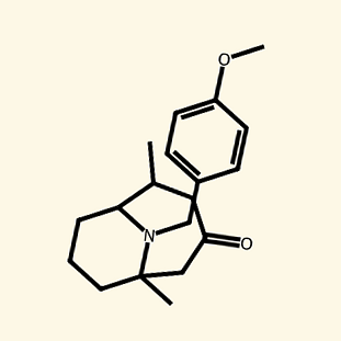 COc1ccc(CN2C3CCCC2(C)CC(=O)CC3C)cc1